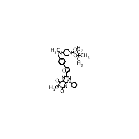 CN(Cc1ccc(-c2ccc(-c3nc4c(=O)n(C)c(=O)nc-4n(C4CCCC4)n3)o2)cc1)C1CCN(C(=O)OC(C)(C)C)CC1